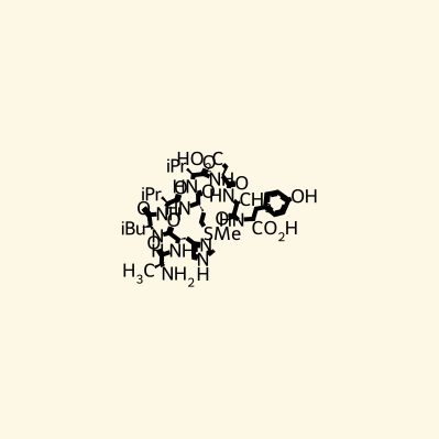 CC[C@H](C)[C@H](NC(=O)[C@H](Cc1c[nH]cn1)NC(=O)[C@H](C)N)C(=O)N[C@H](C(=O)N[C@@H](CCSC)C(=O)N[C@H](C(=O)N[C@@H](CC(=O)O)C(=O)N[C@@H](C)C(=O)N[C@@H](Cc1ccc(O)cc1)C(=O)O)C(C)C)C(C)C